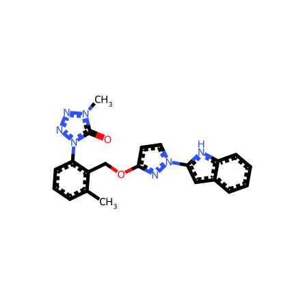 Cc1cccc(-n2nnn(C)c2=O)c1COc1ccn(-c2cc3ccccc3[nH]2)n1